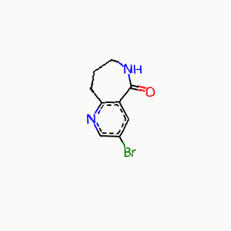 O=C1NCCCc2ncc(Br)cc21